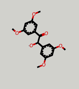 COc1cc(OC)cc(C(=O)C([O])c2cc(OC)cc(OC)c2)c1